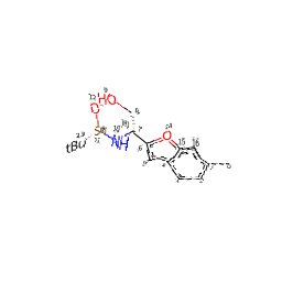 Cc1ccc2cc([C@@H](CO)N[S@@+]([O-])C(C)(C)C)oc2c1